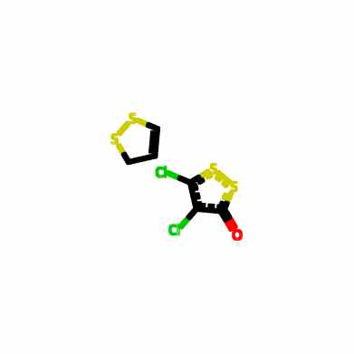 C1=CSSC1.O=c1ssc(Cl)c1Cl